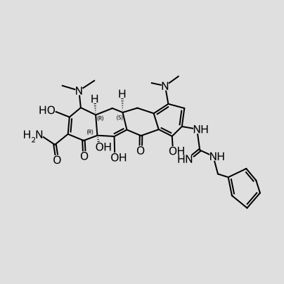 CN(C)c1cc(NC(=N)NCc2ccccc2)c(O)c2c1C[C@@H]1C[C@@H]3C(N(C)C)C(O)=C(C(N)=O)C(=O)[C@]3(O)C(O)=C1C2=O